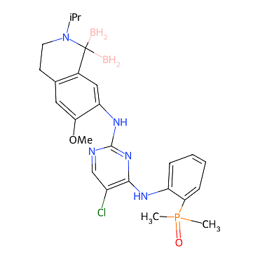 BC1(B)c2cc(Nc3ncc(Cl)c(Nc4ccccc4P(C)(C)=O)n3)c(OC)cc2CCN1C(C)C